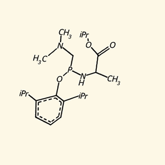 CC(C)OC(=O)C(C)NP(CN(C)C)Oc1c(C(C)C)cccc1C(C)C